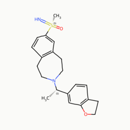 C[C@@H](c1ccc2c(c1)OCC2)N1CCc2ccc([S@@](C)(=N)=O)cc2CC1